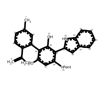 C=C(C)c1ccc(C)cc1-c1c(O)cc(CCCCC)c(-c2cc3ccccc3[nH]2)c1O